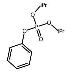 CC(C)OP(=O)(Oc1ccccc1)OC(C)C